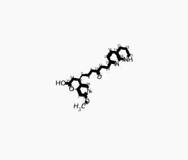 COc1ccc([C@H](CCCC(=O)CCc2ccc3c(n2)NCCC3)CC(=O)O)cn1